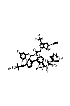 C#C[C@@H]1Cc2c(C(F)(F)F)nn(CC(=O)N[C@@H](Cc3cc(F)cc(F)c3)c3nc(C#CC(C)(C)O)ccc3-c3cccc4c(NS(=O)(=O)c5cn[nH]c5)nn(C)c34)c2C1(F)F